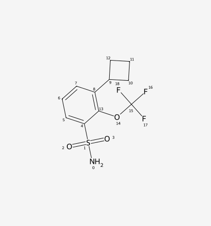 NS(=O)(=O)c1cccc(C2CCC2)c1OC(F)(F)F